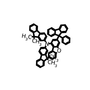 CC1(C)c2ccccc2-c2ccc(N(c3ccc4c(c3)C(C)(C)c3ccccc3-4)c3cc(C4(c5ccccc5)c5ccccc5-c5ccccc54)cc4oc5ccccc5c34)cc21